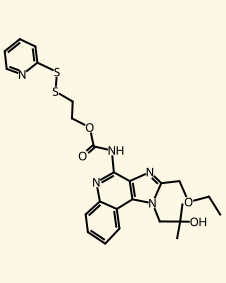 CCOCc1nc2c(NC(=O)OCCSSc3ccccn3)nc3ccccc3c2n1CC(C)(C)O